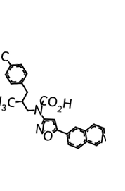 C[C@@H](Cc1ccc(C(F)(F)F)cc1)CN(C(=O)O)c1cc(-c2ccc3cnccc3c2)on1